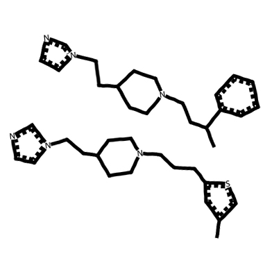 CC(CCN1CCC(CCn2ccnc2)CC1)c1ccccc1.Cc1csc(CCCN2CCC(CCn3ccnc3)CC2)c1